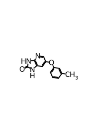 Cc1cccc(Oc2cnc3[nH]c(=O)[nH]c3c2)c1